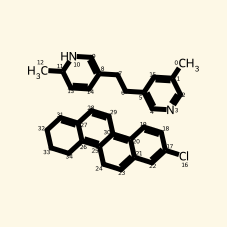 Cc1cncc(CCC2=CNC(C)C=C2)c1.Clc1ccc2c(c1)=CCc1c3c(ccc1=2)=CCCC3